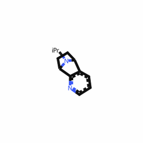 CC(C)N1C2CCC1c1ncccc12